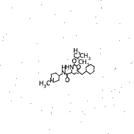 CN1CCC(NC(=O)[C@H](CSCC2CCCCC2)NC(=O)OC(C)(C)C)CC1